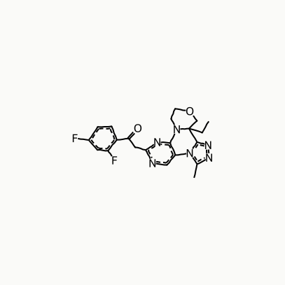 CCC12COCCN1c1nc(CC(=O)c3ccc(F)cc3F)ncc1-n1c(C)nnc12